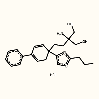 CCCc1nc(C2(CCC(N)(CO)CO)C=CC(c3ccccc3)=CC2)co1.Cl